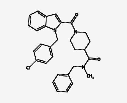 CN(Cc1ccccc1)C(=O)C1CCN(C(=O)c2cc3ccccc3n2Cc2ccc(Cl)cc2)CC1